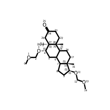 COCO[C@H]1CC2C3CC[C@H](OCOC)[C@@]3(C)CCC2[C@@]2(C)CCC(=O)C[C@H]12